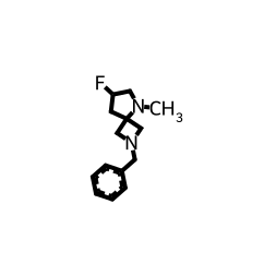 CN1CC(F)CC12CN(Cc1ccccc1)C2